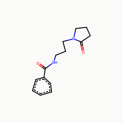 O=C(NCCCN1CCCC1=O)c1cc[c]cc1